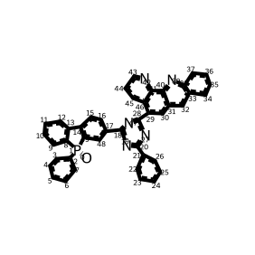 O=P1(c2ccccc2)c2ccccc2-c2ccc(-c3nc(-c4ccccc4)nc(-c4cc5cc6ccccc6nc5c5ncccc45)n3)cc21